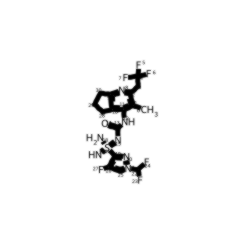 Cc1c(CC(F)(F)F)nc2c(c1NC(=O)N=S(=N)(N)c1nn(C(F)F)cc1F)CCC2